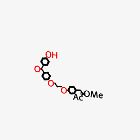 CO[C@@H](Cc1ccc(OCCCOc2ccc(C(=O)c3ccc(O)cc3)cc2)cc1)C(C)=O